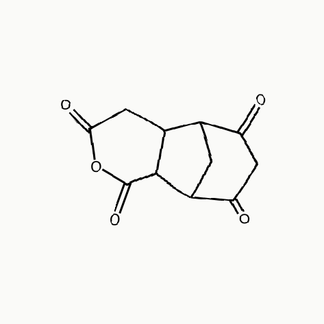 O=C1CC2C3CC(C(=O)CC3=O)C2C(=O)O1